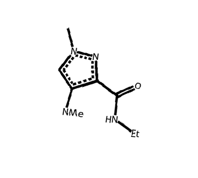 CCNC(=O)c1nn(C)cc1NC